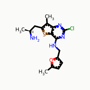 Cc1ccc(CNc2nc(Cl)nc3c(C)c(C[C@H](C)N)sc23)o1